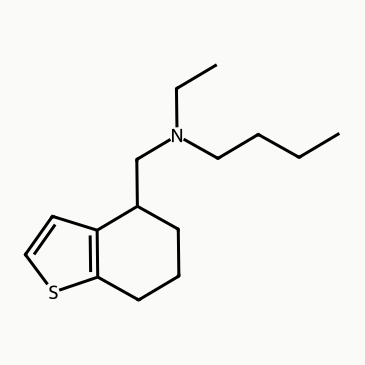 CCCCN(CC)CC1CCCc2sccc21